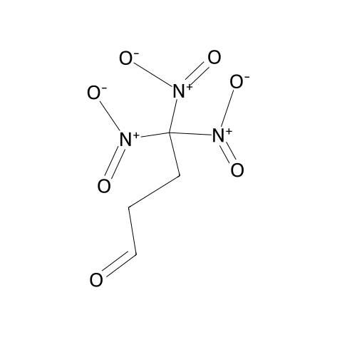 O=CCCC([N+](=O)[O-])([N+](=O)[O-])[N+](=O)[O-]